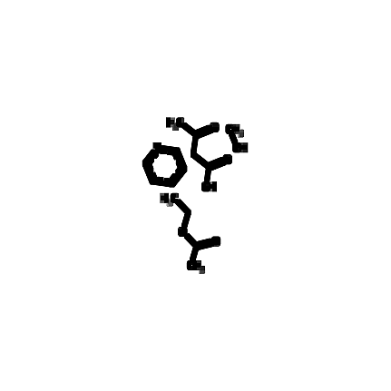 CC(=O)CC(=O)O.CCOC(C)=O.CO.c1ccncc1